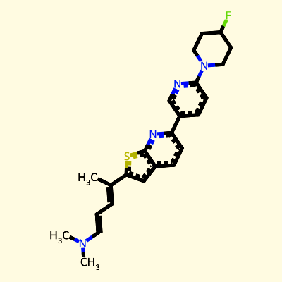 C/C(=C\C=C\N(C)C)c1cc2ccc(-c3ccc(N4CCC(F)CC4)nc3)nc2s1